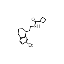 CCc1ccc2c(c1)C(CCNC(=O)C1CCC1)CCC2